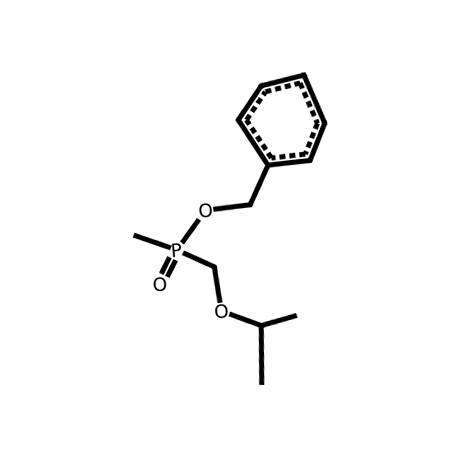 CC(C)OCP(C)(=O)OCc1ccccc1